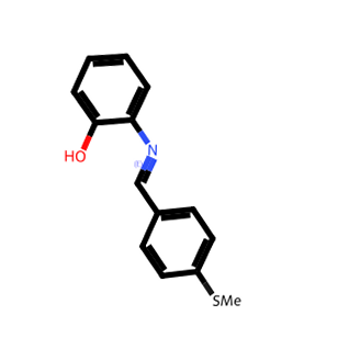 CSc1ccc(/C=N/c2ccccc2O)cc1